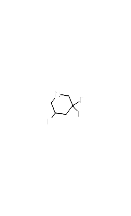 FC1C[N]CC(F)(F)C1